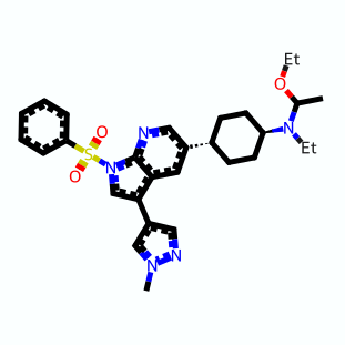 CCOC(C)N(CC)[C@H]1CC[C@H](c2cnc3c(c2)c(-c2cnn(C)c2)cn3S(=O)(=O)c2ccccc2)CC1